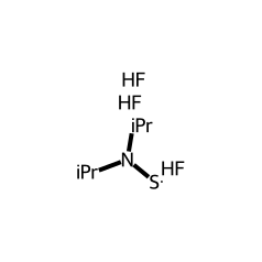 CC(C)N([S])C(C)C.F.F.F